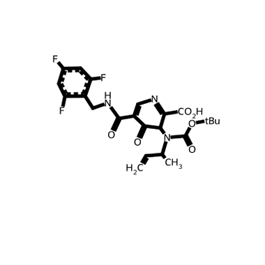 C=CC(C)N(C(=O)OC(C)(C)C)C1C(=O)C(C(=O)NCc2c(F)cc(F)cc2F)=CN=C1C(=O)O